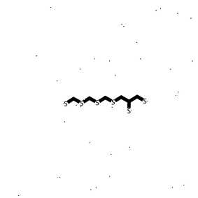 [S]CSCSCSCC([S])C[S]